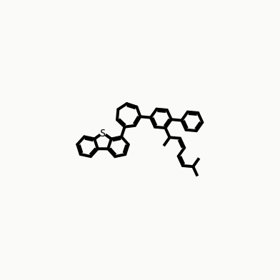 CC(C)/C=C\C=C/C(C)c1cc(C2=CC(c3cccc4c3sc3ccccc34)=CCC=C2)ccc1-c1ccccc1